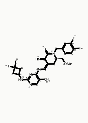 COC[C@H]1C/C(=C/Nc2nc(NC3CC(F)(F)C3)ncc2C)C(=N)C(=O)N1Cc1ccc(F)c(F)c1